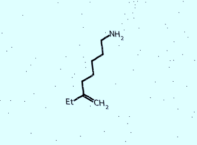 C=C(CC)CCCCCN